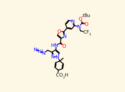 CC(C)(C)OC(=O)N(CC(F)(F)F)c1cc(-c2nc(C(=O)Nc3cn(C4(C)C=CC(C(=O)O)C=C4)nc3CN=[N+]=[N-])co2)ccn1